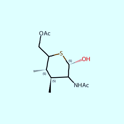 CC(=O)NC1[C@@H](C)[C@H](C)C(COC(C)=O)S[C@@H]1O